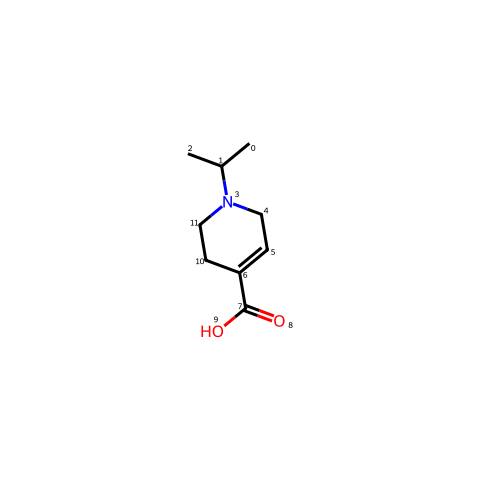 CC(C)N1CC=C(C(=O)O)CC1